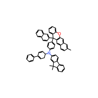 Cc1ccc2cc3c(cc2c1)Oc1ccccc1C3(c1ccc(N(c2ccc3c(c2)C(C)(C)c2ccccc2-3)C2C=CC(c3ccccc3)=CC2)cc1)c1ccc2ccccc2c1